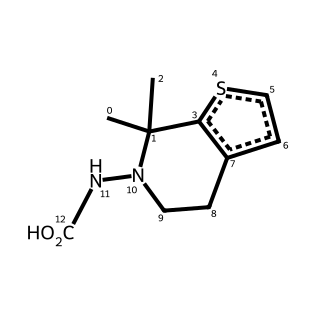 CC1(C)c2sccc2CCN1NC(=O)O